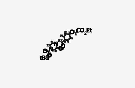 CCOC(=O)COc1ccc(C(=O)CN2CCN(C(=O)OC(C)(C)C)CC2=O)cc1